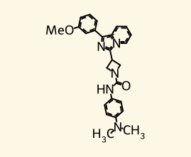 COc1cccc(-c2nc(C3CN(C(=O)Nc4ccc(N(C)C)cc4)C3)n3ccccc23)c1